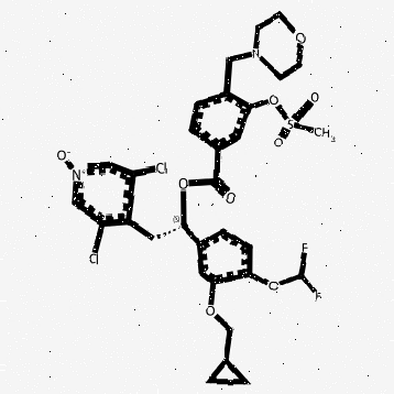 CS(=O)(=O)Oc1cc(C(=O)O[C@@H](Cc2c(Cl)c[n+]([O-])cc2Cl)c2ccc(OC(F)F)c(OCC3CC3)c2)ccc1CN1CCOCC1